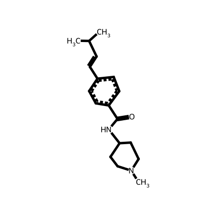 CC(C)/C=C/c1ccc(C(=O)NC2CCN(C)CC2)cc1